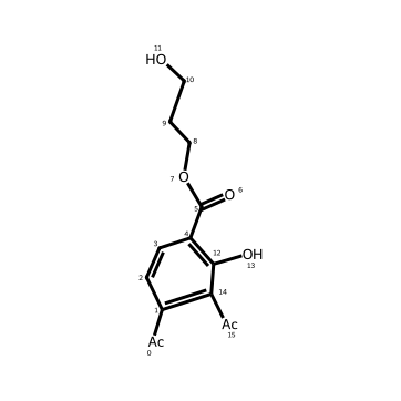 CC(=O)c1ccc(C(=O)OCCCO)c(O)c1C(C)=O